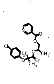 [CH2]C(COC(=O)c1cccnc1)OC(=O)C(C)(C)Oc1ccc(Cl)cc1